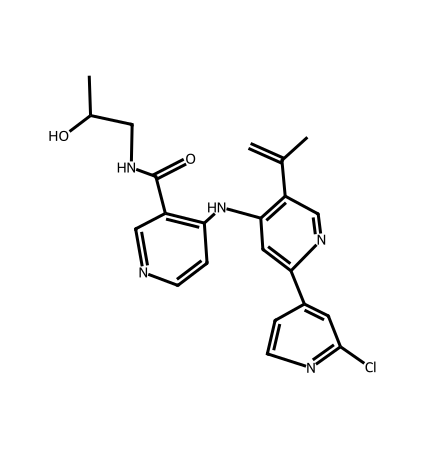 C=C(C)c1cnc(-c2ccnc(Cl)c2)cc1Nc1ccncc1C(=O)NCC(C)O